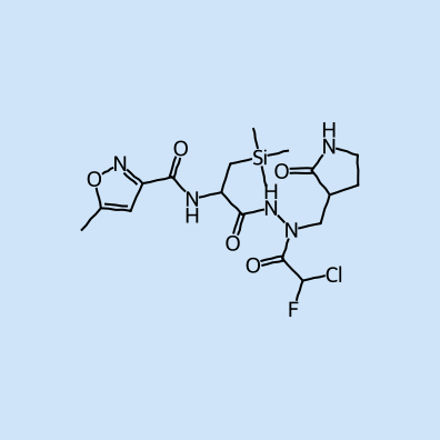 Cc1cc(C(=O)NC(C[Si](C)(C)C)C(=O)NN(CC2CCNC2=O)C(=O)C(F)Cl)no1